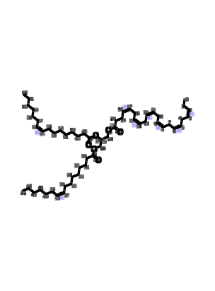 CC/C=C\C/C=C\C/C=C\C/C=C\C/C=C\C/C=C\CCC(=O)OC[C@@H](COC(=O)CCCCCCC/C=C\CCCCCC)OC(=O)CCCCCCC/C=C\CCCCCC